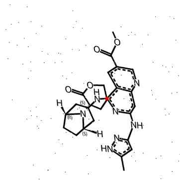 COC(=O)c1cnc2cc(Nc3cc(C)[nH]n3)nc(NC3C[C@H]4CC[C@@H](C3)N4[C@H]3CCCOC3=O)c2c1